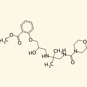 COC(=O)c1ccccc1OCC(O)CNC(C)(C)CNC(=O)N1CCOCC1